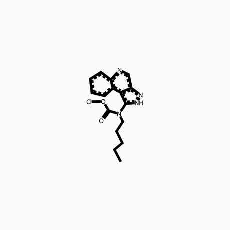 CCCCCN(C(=O)OCl)c1[nH]nc2cnc3ccccc3c12